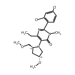 CCc1nc(-c2ccc(Cl)cc2Cl)n(C)c(=O)c1N1C[C@H](OC)C[C@H]1COC